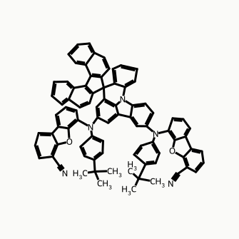 CC(C)(C)c1ccc(N(c2ccc3c(c2)c2cc(N(c4ccc(C(C)(C)C)cc4)c4cccc5c4oc4c(C#N)cccc45)cc4c2n3-c2ccccc2C42c3ccc4ccccc4c3-c3c2ccc2ccccc32)c2cccc3c2oc2c(C#N)cccc23)cc1